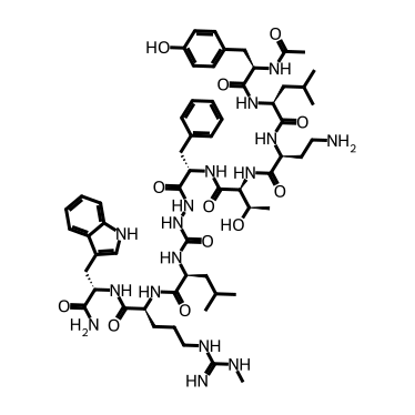 CNC(=N)NCCC[C@H](NC(=O)[C@H](CC(C)C)NC(=O)NNC(=O)[C@H](Cc1ccccc1)NC(=O)[C@@H](NC(=O)[C@H](CCN)NC(=O)[C@H](CC(C)C)NC(=O)[C@@H](Cc1ccc(O)cc1)NC(C)=O)[C@@H](C)O)C(=O)N[C@@H](Cc1c[nH]c2ccccc12)C(N)=O